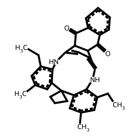 CCc1cc(C)cc2c1NC1=CC=C(Nc3c(CC)cc(C)cc3C23CCC3)C2C(=O)c3ccccc3C(=O)C12